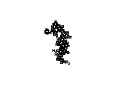 CC(C)C[C@H](NC(=O)CNC(=O)[C@H](Cc1ccccc1)N(C)C(=O)[C@H](C)NC(=O)[C@@H](N)Cc1ccccc1)C(=O)N[C@@H](C)C(=O)N[C@H](C(=O)N[C@@H](Cc1ccccc1)C(=O)N[C@@H](CC(=O)S)C(=O)N(C)[C@@H](C)C(=O)N[C@@H](CO)C(=O)NCC(N)=O)C(C)C